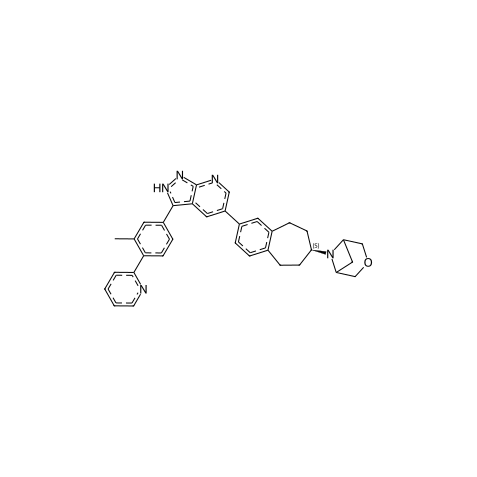 Cc1cc(-c2[nH]nc3ncc(-c4ccc5c(c4)CC[C@@H](N4C6COCC4C6)CC5)cc23)ccc1-c1ccccn1